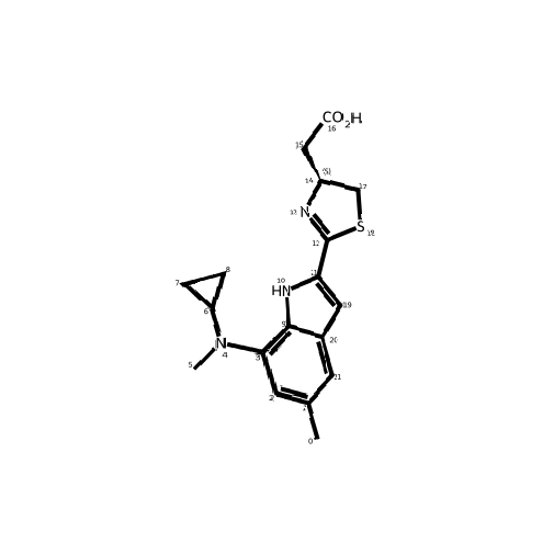 Cc1cc(N(C)C2CC2)c2[nH]c(C3=N[C@@H](CC(=O)O)CS3)cc2c1